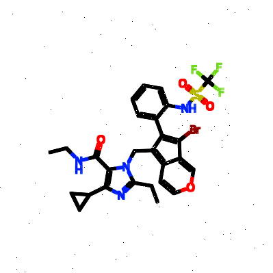 CCNC(=O)c1c(C2CC2)nc(CC)n1Cc1c2ccocc-2c(Br)c1-c1ccccc1NS(=O)(=O)C(F)(F)F